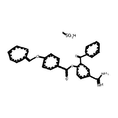 CS(=O)(=O)O.N=C(N)c1ccc(OC(=O)c2ccc(OCc3ccccc3)cc2)c(C(=O)c2ccccc2)c1